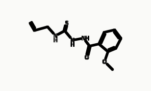 C=CCNC(=S)NNC(=O)c1ccccc1OC